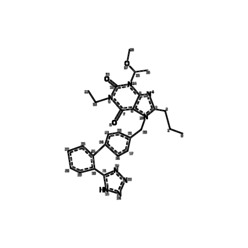 CCCc1nc2c(c(=O)n(CC)c(=O)n2C(C)OC)n1Cc1ccc(-c2ccccc2-c2nnn[nH]2)cc1